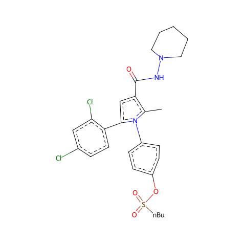 CCCCS(=O)(=O)Oc1ccc(-n2c(-c3ccc(Cl)cc3Cl)cc(C(=O)NN3CCCCC3)c2C)cc1